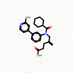 C=C(CCC(=O)OC)CN(C(=O)C1CCCCC1)c1cccc(-c2ccnc(OC)c2)c1